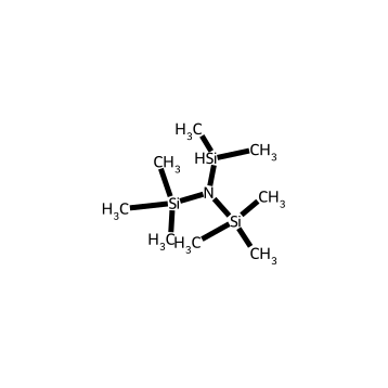 C[SiH](C)N([Si](C)(C)C)[Si](C)(C)C